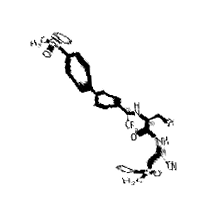 CC(C)C[C@H](N[C@@H](c1ccc(-c2ccc(S(C)(=O)=O)cc2)cc1)C(F)(F)F)C(=O)N[C@H](C#N)CS(C)(=O)=O